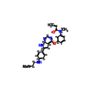 C=CC(=O)N(C)c1cccc(Oc2ncnc3[nH]c(-c4ccc(NCCNC)cc4)cc23)c1